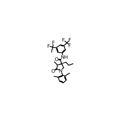 CCC[C@@]1(C(=O)Nc2cc(C(F)(F)F)cc(C(F)(F)F)c2)CN(c2c(C)cccc2C)C(=O)C1C